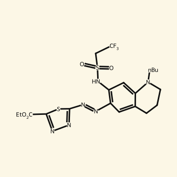 CCCCN1CCCc2cc(N=Nc3nnc(C(=O)OCC)s3)c(NS(=O)(=O)CC(F)(F)F)cc21